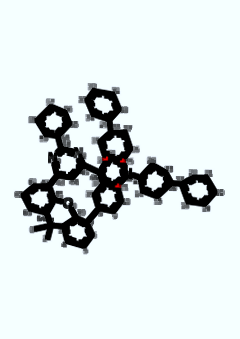 CC1(C)c2cccc(-c3ccc(N(c4ccc(-c5ccccc5)cc4)c4ccc(-c5ccccc5)cc4)cc3)c2Oc2c(-c3cc(-c4ccccc4)nc(-c4ccccc4)n3)cccc21